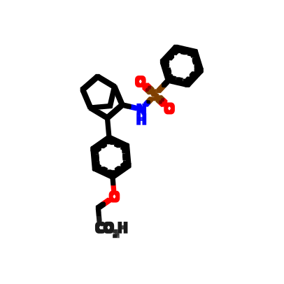 O=C(O)COc1ccc(C2C3CCC(C3)C2NS(=O)(=O)c2ccccc2)cc1